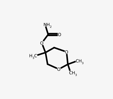 CC1(OC(N)=O)COC(C)(C)OC1